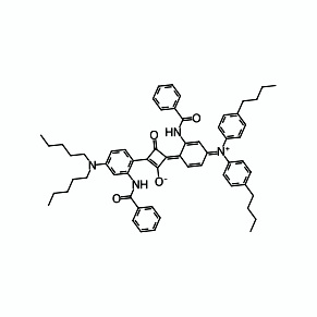 CCCCCN(CCCCC)c1ccc(C2=C([O-])/C(=C3\C=CC(=[N+](c4ccc(CCCC)cc4)c4ccc(CCCC)cc4)C=C3NC(=O)c3ccccc3)C2=O)c(NC(=O)c2ccccc2)c1